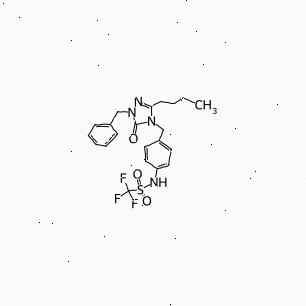 CCCCc1nn(Cc2ccccc2)c(=O)n1Cc1ccc(NS(=O)(=O)C(F)(F)F)cc1